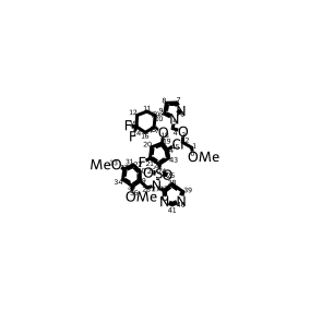 COCCOCn1nccc1[C@H]1CCC(F)(F)C[C@@H]1Oc1cc(F)c(S(=O)(=O)N(Cc2ccc(OC)cc2OC)c2ccncn2)cc1Cl